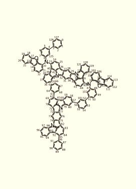 c1ccc(-c2cccc(N(c3cccc4c3oc3ccccc34)c3ccc4c5cc6c(cc5n5c7ccccc7c3c45)c3ccc(N(c4cccc(-c5cccc(-c7ccc8c9c(-c%10ccccc%10)ccc%10c%11cc%12c(cc%11n(c8c7)c%109)c7ccc(-c8ccccc8)c8c9ccccc9n%12c78)c5)c4)c4cccc5c4oc4ccccc45)c4c5ccccc5n6c34)c2)cc1